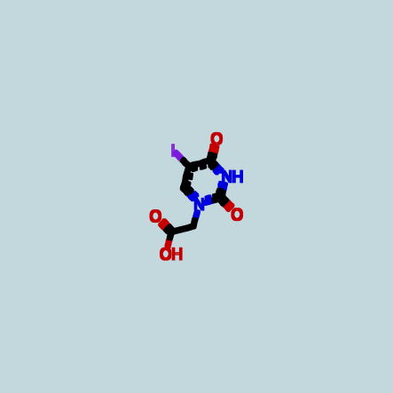 O=C(O)Cn1cc(I)c(=O)[nH]c1=O